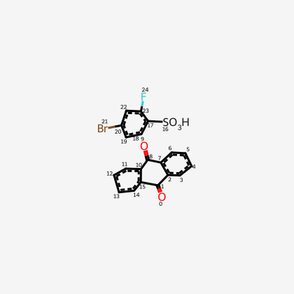 O=C1c2ccccc2C(=O)c2ccccc21.O=S(=O)(O)c1ccc(Br)cc1F